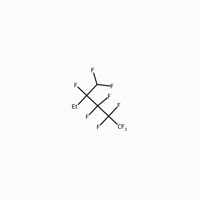 CCC(F)(C(F)F)C(F)(F)C(F)(F)C(F)(F)F